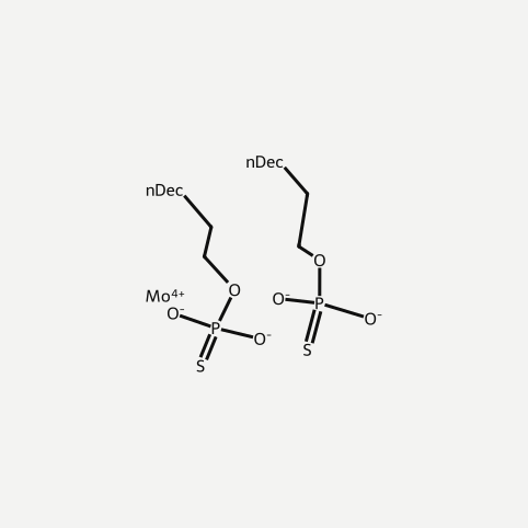 CCCCCCCCCCCCOP([O-])([O-])=S.CCCCCCCCCCCCOP([O-])([O-])=S.[Mo+4]